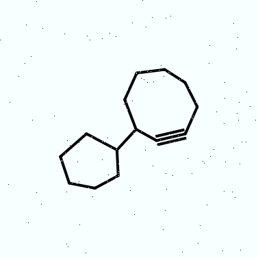 C1#CC(C2CCCCC2)CCCCC1